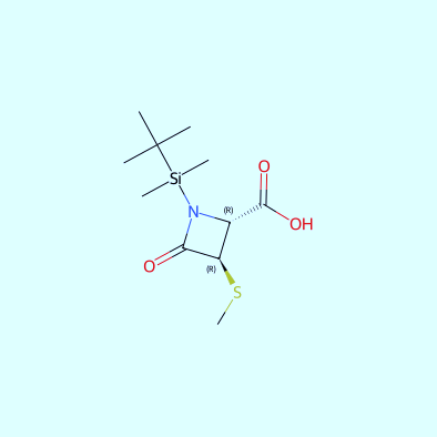 CS[C@H]1C(=O)N([Si](C)(C)C(C)(C)C)[C@@H]1C(=O)O